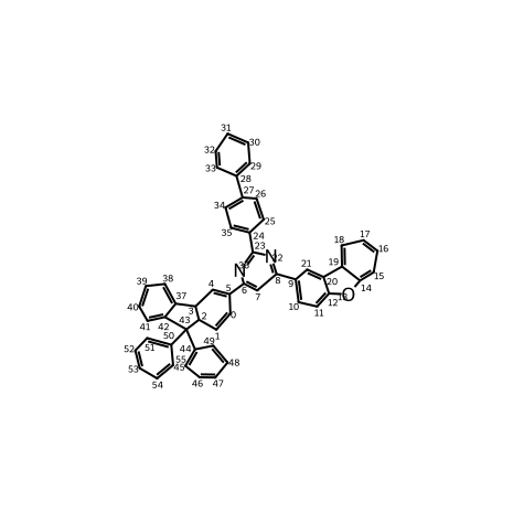 C1=CC2C(C=C1c1cc(-c3ccc4oc5ccccc5c4c3)nc(-c3ccc(-c4ccccc4)cc3)n1)c1ccccc1C2(c1ccccc1)c1ccccc1